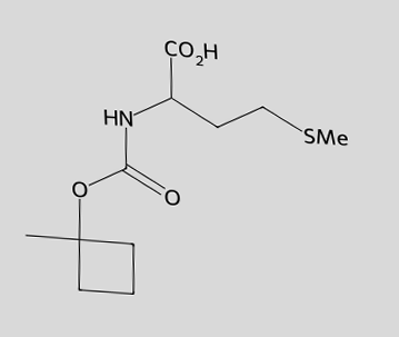 CSCCC(NC(=O)OC1(C)CCC1)C(=O)O